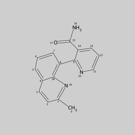 Cc1ccc2cccc(-c3ncccc3C(N)=O)c2n1